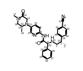 C[C@H](CN[C@H](C(=O)Nc1ccc(N2CC(=O)N(C)C[C@@H]2C)cn1)c1ccccc1)c1ccc(C#N)cc1